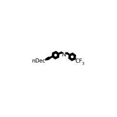 CCCCCCCCCCC#Cc1ccc(C[N]Cc2ccc(C(F)(F)F)cc2)cc1